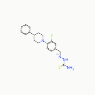 NC(=S)N/N=C/c1ccc(N2CCC(c3ccccc3)CC2)c(F)c1